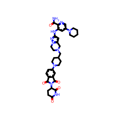 NC(=O)c1ncc(N2CCCCC2)cc1Nc1cc2n(n1)CCN(CC1CCN(c3ccc4c(c3)C(=O)N(C3CCC(=O)NC3=O)C4=O)CC1)C2